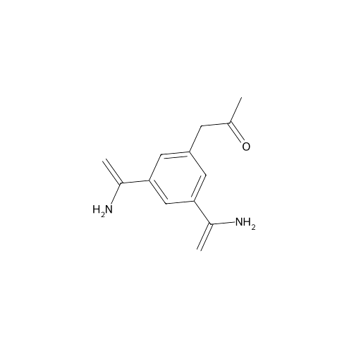 C=C(N)c1cc(CC(C)=O)cc(C(=C)N)c1